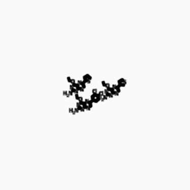 CCOc1nc(N)nc2ncc(-c3ccc(Cl)c(Cl)c3)nc12.CCOc1nc(N)nc2ncc(-c3cccs3)nc12.CCOc1nc(N)nc2ncc(-c3ccsc3)nc12